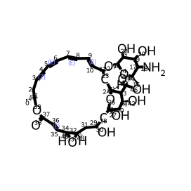 C[C@@H]1C\C=C/C=C/C=C/C=C/C(O[C@@H]2O[C@H](C)C(N)C(O)C2O)C[C@@H]2O[C@](O)(CC(O)C[C@H]3O[C@@H]3/C=C/C(=O)O1)C[C@H](O)C2C(=O)O